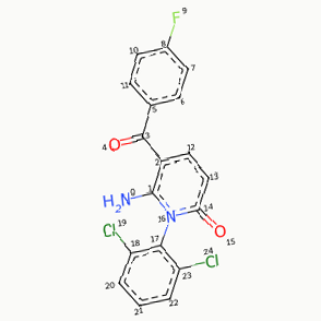 Nc1c(C(=O)c2ccc(F)cc2)ccc(=O)n1-c1c(Cl)cccc1Cl